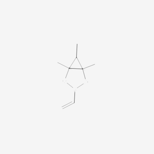 C=CB1OC2(C)C(C)C2(C)O1